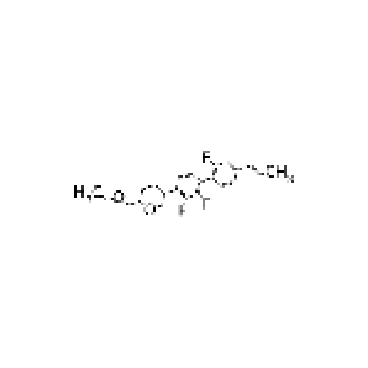 C/C=C/c1ccc(-c2ccc(C3CCC(COCC)OC3)c(F)c2F)c(F)c1